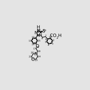 O=C(O)c1ccccc1CCn1c(-c2cccc(OCCN3CCOCC3)c2)n[nH]c1=S